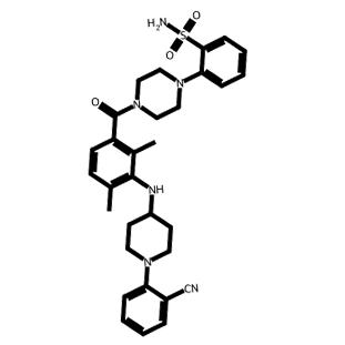 Cc1ccc(C(=O)N2CCN(c3ccccc3S(N)(=O)=O)CC2)c(C)c1NC1CCN(c2ccccc2C#N)CC1